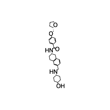 O=C(N[C@H]1CCc2cc(CN[C@H]3CC[C@H](O)CC3)ccc2C1)c1ccc(OC[C@@H]2CCCO2)cc1